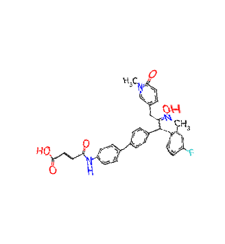 Cc1cc(F)ccc1C(C(Cc1ccc(=O)n(C)c1)=NO)c1ccc(-c2ccc(NC(=O)CCC(=O)O)cc2)cc1